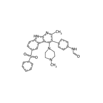 Cc1nc2[nH]c3ccc(S(=O)(=O)c4ccccc4)cc3c2c(N2CCN(C)CC2)c1-c1ccc(NC=O)cc1